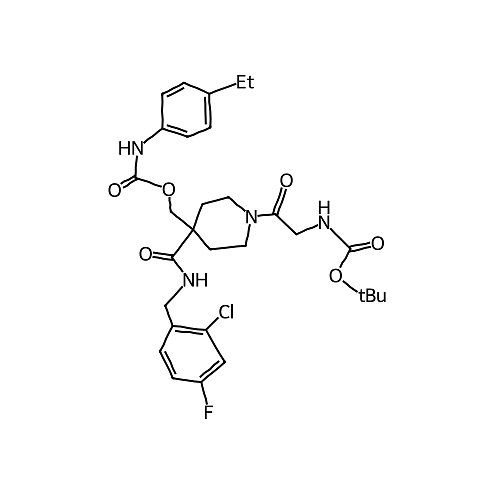 CCc1ccc(NC(=O)OCC2(C(=O)NCc3ccc(F)cc3Cl)CCN(C(=O)CNC(=O)OC(C)(C)C)CC2)cc1